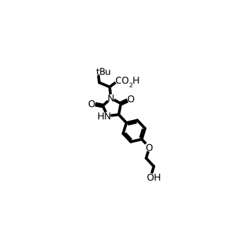 CC(C)(C)CC(C(=O)O)N1C(=O)NC(c2ccc(OCCO)cc2)C1=O